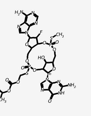 CSP1(=O)OCC2O[C@@H](n3cnc4c(=O)[nH]c(N)nc43)C(OP(=O)(SCOC(=O)OC(C)C)OCC3OC(n4cnc5c(N)ncnc54)C(F)C3O1)C2O